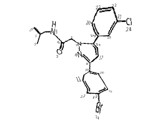 CC(C)NC(=O)Cn1nc(-c2ccc(Br)cc2)cc1-c1cccc(Cl)c1